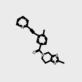 Cc1nc2c(s1)CN(C(=O)c1ccc(C)c(C#Cc3ccccn3)c1)CC2